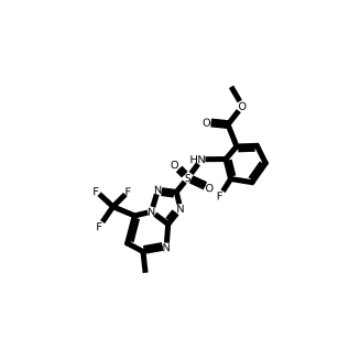 COC(=O)c1cccc(F)c1NS(=O)(=O)c1nc2nc(C)cc(C(F)(F)F)n2n1